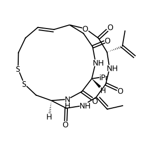 C=C(C)[C@@H]1NC(=O)/C(=C\C)NC(=O)[C@H]2CSSCC/C=C/C(CC(=O)N[C@H](C(C)C)C(=O)N2)OC1=O